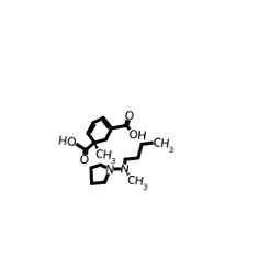 CCCCN(C)N1CCCC1.C[C@@]1(C(=O)O)C=CC=C(C(=O)O)C1